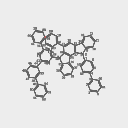 c1ccc(-c2ccc(-n3c4ccccc4c4cc(-c5ccccc5)c5c(c6ccccc6n5-c5nc(-c6ccccc6)nc(-c6cccc(-c7ccccc7)c6)n5)c43)cc2)cc1